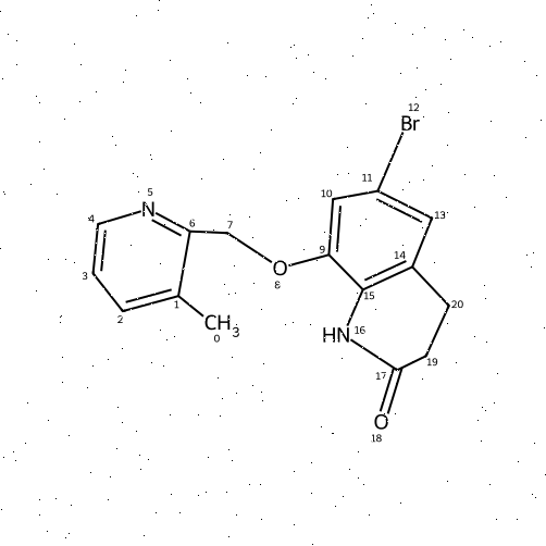 Cc1cccnc1COc1cc(Br)cc2c1NC(=O)CC2